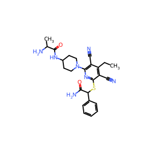 CCc1c(C#N)c(SC(C(N)=O)c2ccccc2)nc(N2CCC(NC(=O)C(C)N)CC2)c1C#N